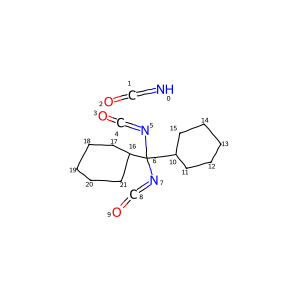 N=C=O.O=C=NC(N=C=O)(C1CCCCC1)C1CCCCC1